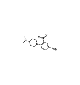 CN(C)C1CCN(c2ccc(C#N)cc2[N+](=O)[O-])CC1